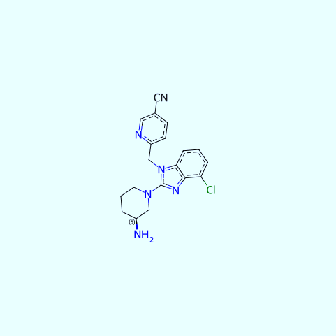 N#Cc1ccc(Cn2c(N3CCC[C@H](N)C3)nc3c(Cl)cccc32)nc1